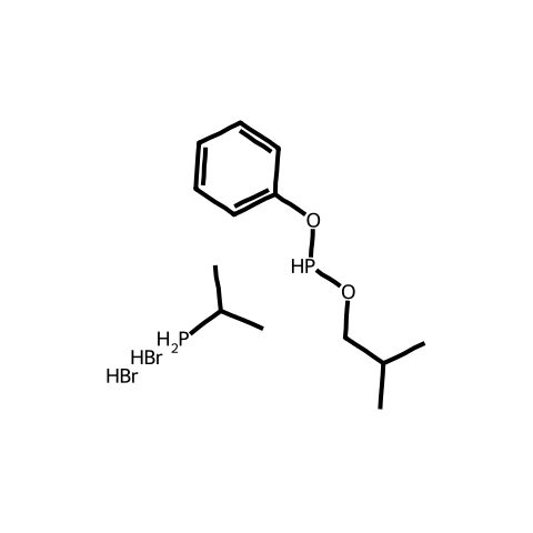 Br.Br.CC(C)COPOc1ccccc1.CC(C)P